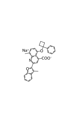 Cc1c(-c2cc(C(=O)[O-])c3c(OC4(c5ccccc5)CCC4)ccc(C)c3n2)oc2ccccc12.[Na+]